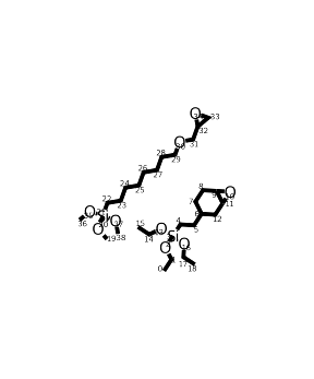 CCO[Si](CCC1CCC2OC2C1)(OCC)OCC.CO[Si](CCCCCCCCOCC1CO1)(OC)OC